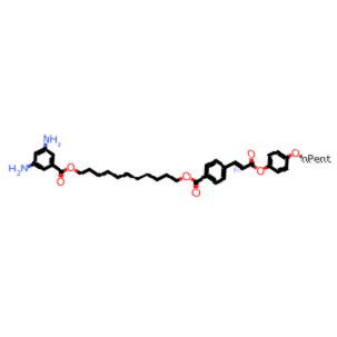 CCCCCOc1ccc(OC(=O)/C=C/c2ccc(C(=O)OCCCCCCCCCCCOC(=O)c3cc(N)cc(N)c3)cc2)cc1